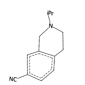 CC(C)N1CCc2ccc(C#N)cc2C1